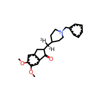 [2H]C([2H])(C1CCN(Cc2ccccc2)CC1)C1Cc2cc(OC)c(OC)cc2C1=O